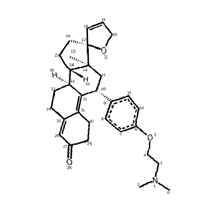 CN(C)CCOc1ccc([C@H]2C[C@@]3(C)[C@@H](CC[C@@]34C=CCO4)[C@@H]3CCC4=CC(=O)CCC4=C32)cc1